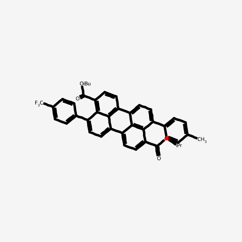 Cc1ccc(-c2ccc3c4ccc(C(=O)OCC(C)C)c5c(-c6ccc(C(F)(F)F)cc6)ccc(c6ccc(C(=O)OC(C)C)c2c63)c54)cc1